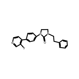 O=C1N(CCc2ccccc2)CCN1c1ccc(-c2ccncc2F)cc1